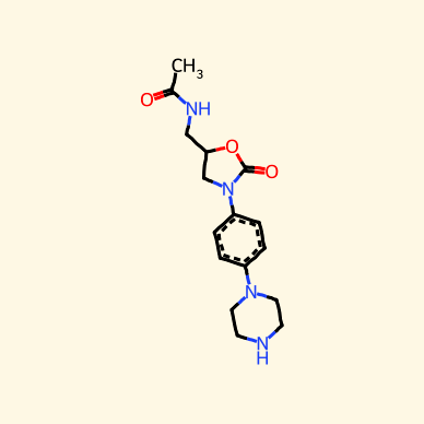 CC(=O)NCC1CN(c2ccc(N3CCNCC3)cc2)C(=O)O1